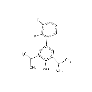 CC(C)c1cc(-c2cccc(F)c2F)cc(C(C)C)c1O